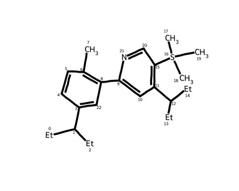 CCC(CC)c1ccc(C)c(-c2cc(C(CC)CC)c(S(C)(C)C)cn2)c1